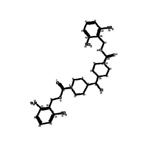 CCC(C1CCN(C(=O)OCc2c([N+](=O)[O-])cccc2[N+](=O)[O-])CC1)C1CCN(C(=O)OCc2c([N+](=O)[O-])cccc2[N+](=O)[O-])CC1